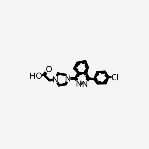 O=C(O)CN1CCN(c2nnc(-c3ccc(Cl)cc3)c3ccccc23)CC1